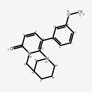 O=c1ccc(-c2cccc(OC(F)(F)F)c2)c2n1CC1CCCN2C1